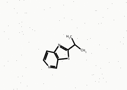 CC(C)c1nc2ccncc2s1